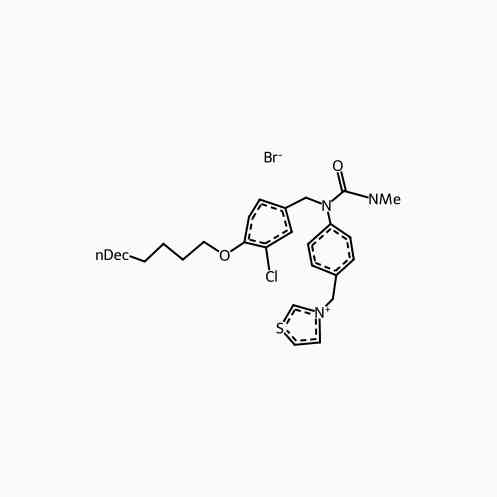 CCCCCCCCCCCCCCOc1ccc(CN(C(=O)NC)c2ccc(C[n+]3ccsc3)cc2)cc1Cl.[Br-]